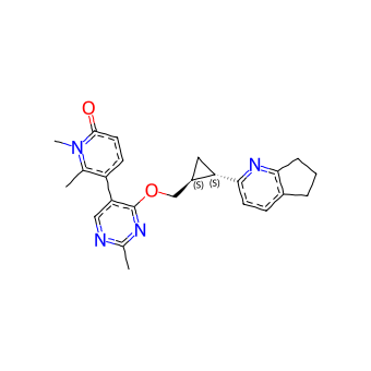 Cc1ncc(-c2ccc(=O)n(C)c2C)c(OC[C@H]2C[C@@H]2c2ccc3c(n2)CCC3)n1